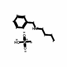 CCCCNCc1ccccc1.CS(=O)(=O)O